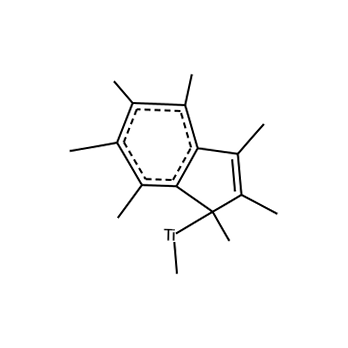 [CH3][Ti][C]1(C)C(C)=C(C)c2c(C)c(C)c(C)c(C)c21